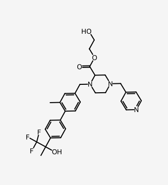 Cc1cc(CN2CCN(Cc3ccncc3)CC2C(=O)OCCO)ccc1-c1ccc(C(C)(O)C(F)(F)F)cc1